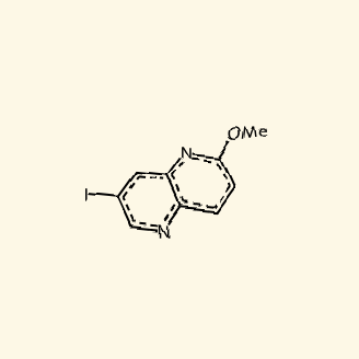 COc1ccc2ncc(I)cc2n1